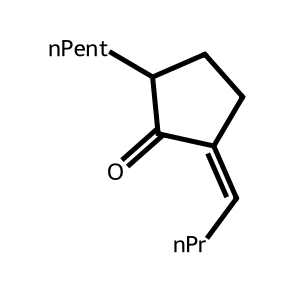 CCCC=C1CCC(CCCCC)C1=O